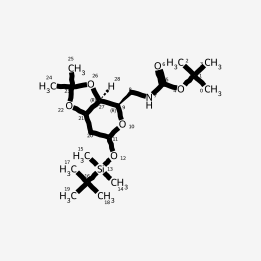 CC(C)(C)OC(=O)NC[C@H]1OC(O[Si](C)(C)C(C)(C)C)CC2OC(C)(C)O[C@H]21